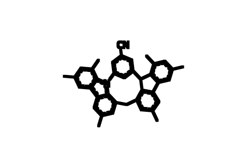 Cc1cc(C)c2c(c1)-c1cc(C)cc3c1C2c1cc(C#N)cc(c1)-n1c2c(C)cc(C)cc2c2cc(C)cc(c21)C3